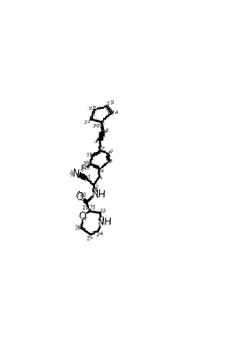 N#CC(Cc1ccc(C#CC2CCCC2)cc1F)NC(=O)C1CNCCCO1